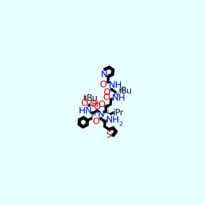 CC[C@H](C)[C@H](NC(=O)C[C@H](O)[C@H](CC(C)C)N(C(=O)[C@H](Cc1ccccc1)NC(=O)OC(C)(C)C)C(=O)[C@@H](N)Cc1cccs1)C(=O)NC(=O)c1ccccn1